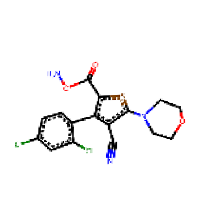 N#Cc1c(N2CCOCC2)sc(C(=O)ON)c1-c1ccc(Cl)cc1Cl